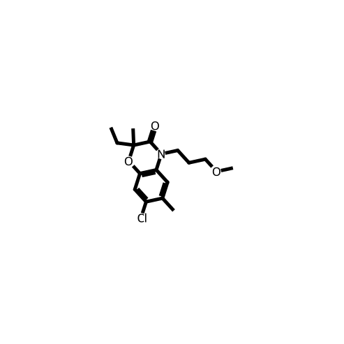 CCC1(C)Oc2cc(Cl)c(C)cc2N(CCCOC)C1=O